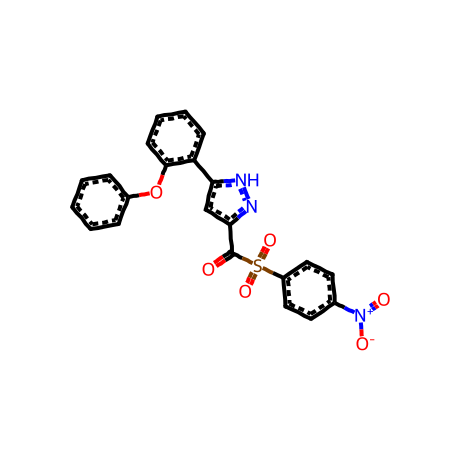 O=C(c1cc(-c2ccccc2Oc2ccccc2)[nH]n1)S(=O)(=O)c1ccc([N+](=O)[O-])cc1